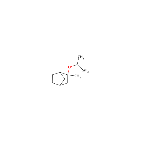 CC([SiH3])OC1(C)CC2CCC1C2